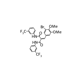 COc1cc(C=C(C(=O)Nc2cccc(C(F)(F)F)c2)C(=O)Nc2cccc(C(F)(F)F)c2)cc(Br)c1OC